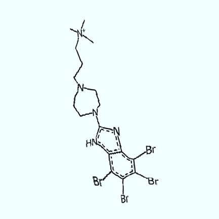 C[N+](C)(C)CCCN1CCN(c2nc3c(Br)c(Br)c(Br)c(Br)c3[nH]2)CC1